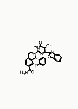 Cn1c(N2CCc3ccc(C(N)=O)cc3[C@H]2c2ccccc2F)nc(-c2nc3ccccc3o2)c(O)c1=O